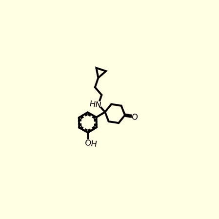 O=C1CCC(NCCC2CC2)(c2cccc(O)c2)CC1